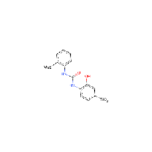 CSc1ccccc1NC(=O)Nc1ccc([N+](=O)[O-])cc1O